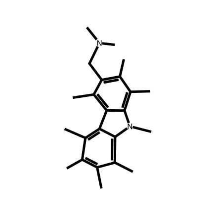 Cc1c(C)c(C)c2c(c1C)c1c(C)c(CN(C)C)c(C)c(C)c1n2C